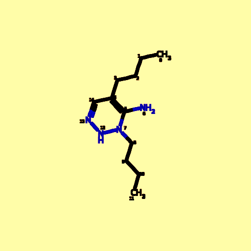 CCCCC1=C(N)N(CCCC)NN=C1